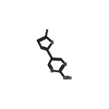 COc1ncc(-c2ccc(C)s2)cn1